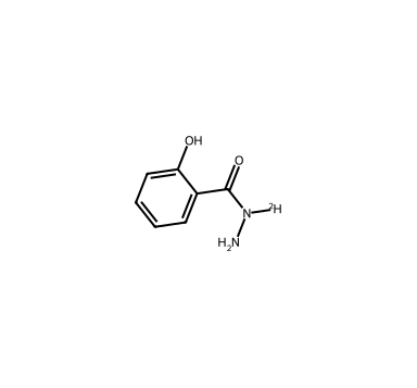 [2H]N(N)C(=O)c1ccccc1O